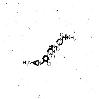 CC(C)(N)C(=O)N1CCN(C(=O)Nc2ccn(-c3ccc(CN4CC5C(N)C5C4)c(Cl)c3)c(=O)n2)CC1